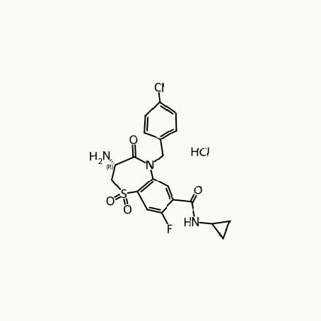 Cl.N[C@H]1CS(=O)(=O)c2cc(F)c(C(=O)NC3CC3)cc2N(Cc2ccc(Cl)cc2)C1=O